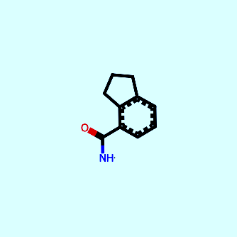 [NH]C(=O)c1cccc2c1CCC2